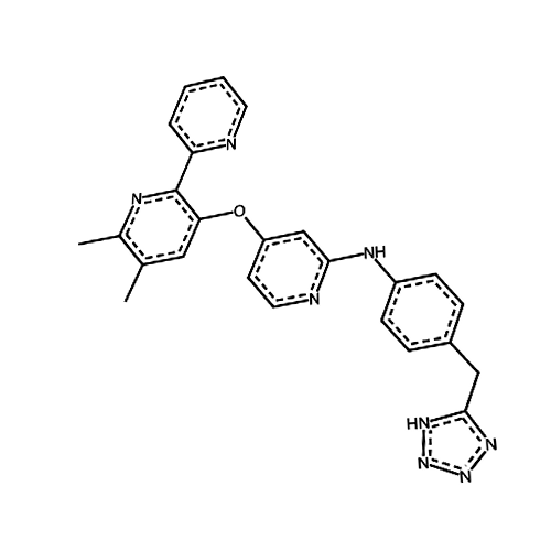 Cc1cc(Oc2ccnc(Nc3ccc(Cc4nnn[nH]4)cc3)c2)c(-c2ccccn2)nc1C